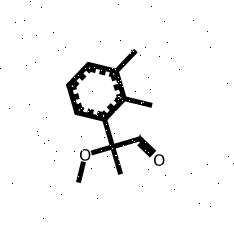 COC(C)([C]=O)c1cccc(C)c1C